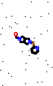 O=CN1CC2=C(C1)CN(Sc1ccccn1)C2